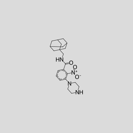 O=C(NCC12CC3CC(CC(C3)C1)C2)c1cccc(N2CCNCC2)c1[N+](=O)[O-]